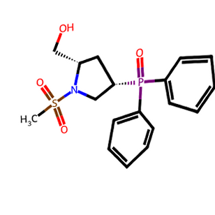 CS(=O)(=O)N1C[C@@H](P(=O)(c2ccccc2)c2ccccc2)C[C@H]1CO